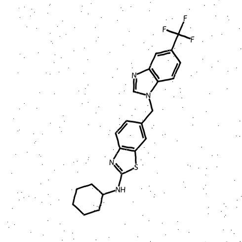 FC(F)(F)c1ccc2c(c1)ncn2Cc1ccc2nc(NC3CCCCC3)sc2c1